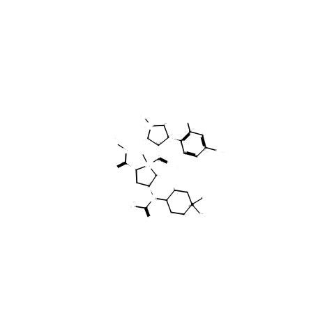 CCNC(=O)[C@@H]1C[C@H](N(C(=O)C(C)(C)C)C2CCC(C)(C)CC2)C[N+]1(C)C(=O)[C@@H]1CN(C(C)(C)C)C[C@H]1c1ccc(F)cc1F